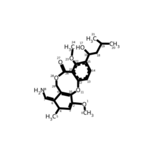 COC1=CC(C)C(=CN)C2=C1Oc1ccc(C(O)CC(C)C)c(OC)c1C(=O)OC2